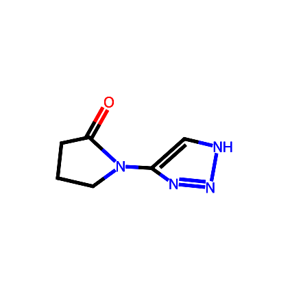 O=C1CCCN1c1c[nH]nn1